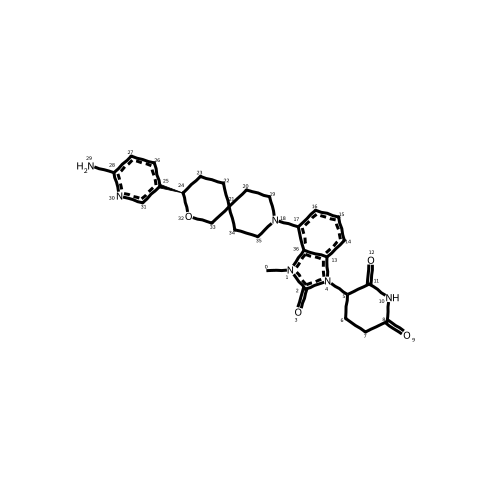 Cn1c(=O)n(C2CCC(=O)NC2=O)c2cccc(N3CCC4(CC[C@H](c5ccc(N)nc5)OC4)CC3)c21